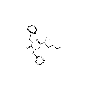 CCCCN(C)C(=O)O[C@@H](Cc1ccccc1)C(=O)OCc1ccccc1